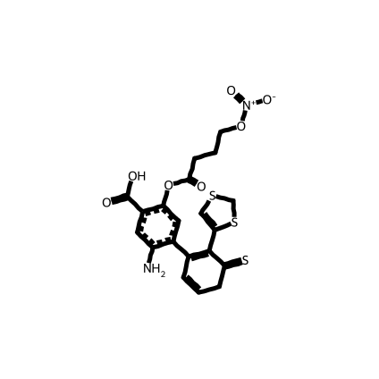 Nc1cc(C(=O)O)c(OC(=O)CCCO[N+](=O)[O-])cc1C1=C(C2=CSCS2)C(=S)CC=C1